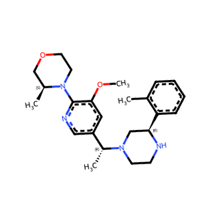 COc1cc([C@@H](C)N2CCN[C@H](c3ccccc3C)C2)cnc1N1CCOC[C@@H]1C